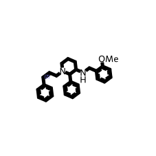 COc1ccccc1CNC1CCCN(C/C=C\c2ccccc2)C1c1ccccc1